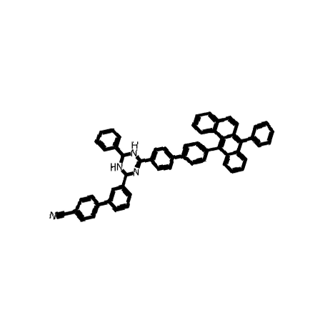 N#Cc1ccc(-c2cccc(C3N=C(c4ccc(-c5ccc(-c6c7ccccc7c(-c7ccccc7)c7ccc8ccccc8c67)cc5)cc4)NC(c4ccccc4)N3)c2)cc1